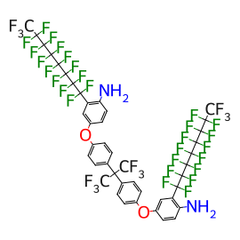 Nc1ccc(Oc2ccc(C(c3ccc(Oc4ccc(N)c(C(F)(F)C(F)(F)C(F)(F)C(F)(F)C(F)(F)C(F)(F)C(F)(F)C(F)(F)F)c4)cc3)(C(F)(F)F)C(F)(F)F)cc2)cc1C(F)(F)C(F)(F)C(F)(F)C(F)(F)C(F)(F)C(F)(F)C(F)(F)C(F)(F)F